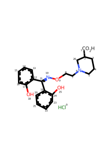 Cl.O=C(O)C1CCCN(CCON=C(c2ccccc2O)c2ccccc2O)C1